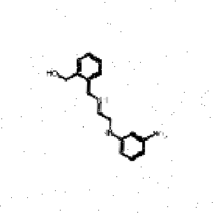 O=[N+]([O-])c1cccc(NCCNCc2ccccc2CO)c1